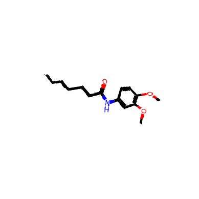 [CH2]CCCCCC(=O)Nc1ccc(OC)c(OC)c1